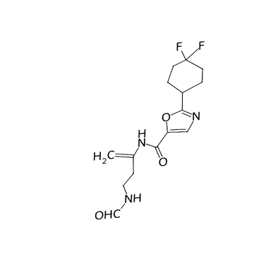 C=C(CCNC=O)NC(=O)c1cnc(C2CCC(F)(F)CC2)o1